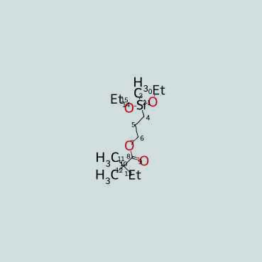 CCO[Si](C)(CCCOC(=O)C(C)(C)CC)OCC